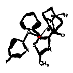 Cc1nc(C(=O)N2C3CC[C@H]2CC[C@@H]3COc2ccc(F)cn2)c(-c2ccccc2)s1